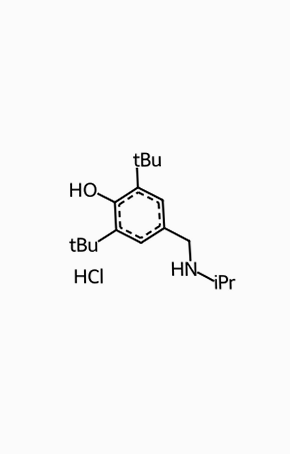 CC(C)NCc1cc(C(C)(C)C)c(O)c(C(C)(C)C)c1.Cl